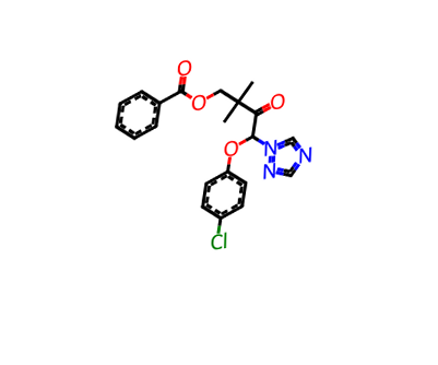 CC(C)(COC(=O)c1ccccc1)C(=O)C(Oc1ccc(Cl)cc1)n1cncn1